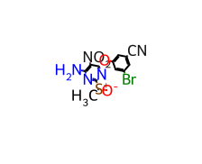 C[S+]([O-])c1nc(N)c([N+](=O)[O-])c(Oc2cc(Br)cc(C#N)c2)n1